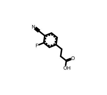 N#Cc1ccc(CCC(=O)O)cc1F